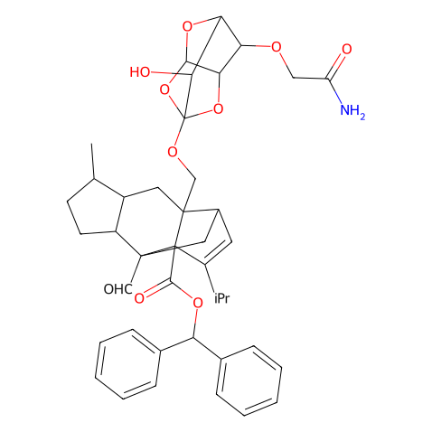 CC(C)C1=CC2CC3(C=O)C4CCC(C)C4CC2(COC24OC5OC(C(OCC(N)=O)C5O2)C4O)C13C(=O)OC(c1ccccc1)c1ccccc1